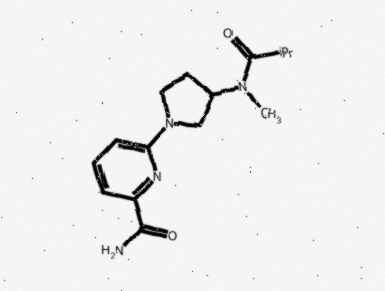 CC(C)C(=O)N(C)C1CCN(c2cc[c]c(C(N)=O)n2)C1